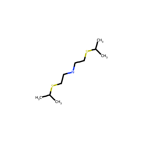 CC(C)SCC[N]CCSC(C)C